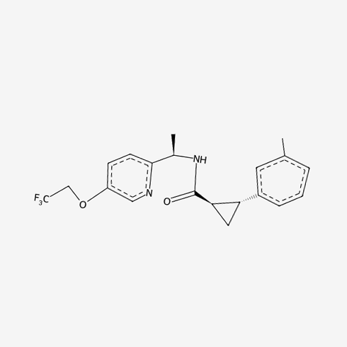 Cc1cccc([C@@H]2C[C@H]2C(=O)N[C@H](C)c2ccc(OCC(F)(F)F)cn2)c1